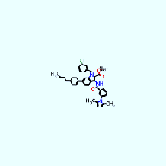 CCCCc1ccc(-c2ccc3c(NC(=O)c4cccc(-n5c(C)ccc5C)c4)c(C(=O)[O-])n(Cc4cccc(Cl)c4)c3c2)cc1.[Na+]